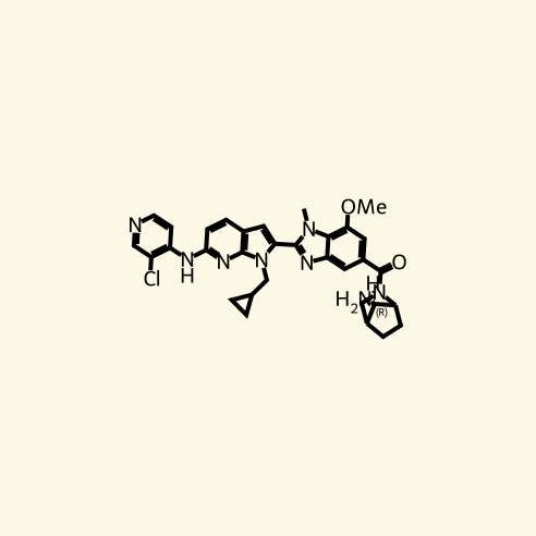 COc1cc(C(=O)N2CC3CCC2[C@@H]3N)cc2nc(-c3cc4ccc(Nc5ccncc5Cl)nc4n3CC3CC3)n(C)c12